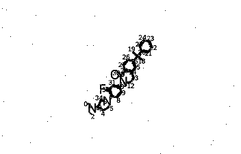 CN(C)[C@@H]1CCN(c2ccc(N3CCc4cc(C(C)(C)c5ccccc5)ccc4C3=O)cc2F)C1